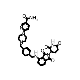 NC(=O)c1ccc(N2CCN(CC3=CCC(CNc4cccc5c4C(=O)N([C@@H]4CCC(=O)NC4=O)C5=O)C=C3)CC2)nc1